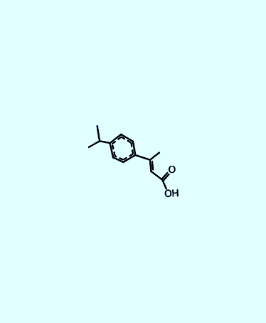 C/C(=C\C(=O)O)c1ccc(C(C)C)cc1